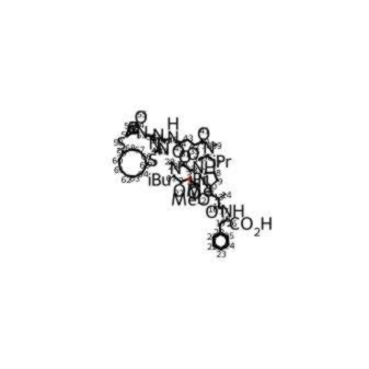 CC[C@H](C)C([C@@H](CC(=O)N1CCC[C@H]1[C@H](OC)[C@@H](C)C(=O)N[C@@H](Cc1ccccc1)C(=O)O)OC)N(C)C(=O)[C@@H](NC(=O)C(C(C)C)N(C)C(=O)CCC(=O)Nc1nc2nc(n1)N1C(=O)CC(SC3CCCCCC(CCC3)S2)C1=O)C(C)C